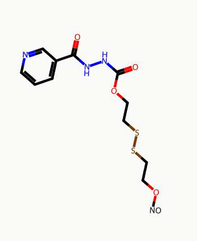 O=NOCCSSCCOC(=O)NNC(=O)c1cccnc1